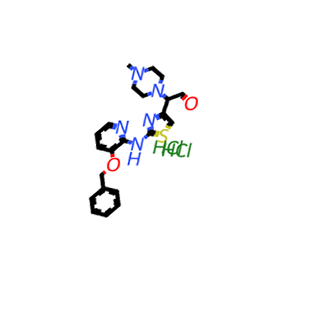 CN1CCN(C(C=O)c2csc(Nc3ncccc3OCc3ccccc3)n2)CC1.Cl.Cl